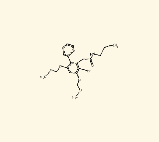 CCCNC(=O)Cc1c(Br)c(OCOC)cc(OCOC)c1-c1ccccc1